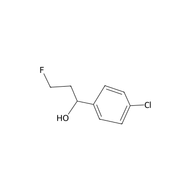 OC(CCF)c1ccc(Cl)cc1